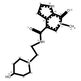 Cn1cc(C(=O)NCCN2CCC(O)CC2)c2cc[nH]c2c1=O